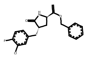 C=C(OCc1ccccc1)[C@H]1C[C@H](Cc2ccc(F)c(Cl)c2)C(=O)N1